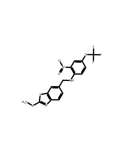 CSc1nc2ccc(CNc3ccc(OC(F)(F)F)cc3[N+](=O)[O-])cc2s1